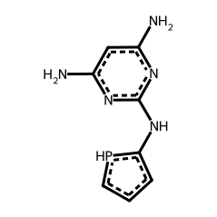 Nc1cc(N)nc(Nc2ccc[pH]2)n1